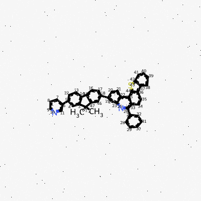 CC1(C)c2cc(-c3cccnc3)ccc2-c2ccc(-c3ccc4c(c3)nc(-c3ccccc3)c3ccc5c6ccccc6sc5c34)cc21